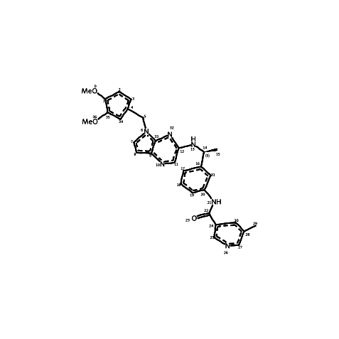 COc1ccc(Cn2ccc3ncc(N[C@@H](C)c4cccc(NC(=O)c5cncc(C)c5)c4)nc32)cc1OC